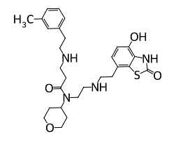 Cc1cccc(CCNCCC(=O)N(CCNCCc2ccc(O)c3[nH]c(=O)sc23)C2CCOCC2)c1